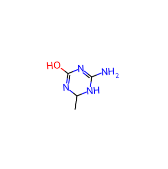 CC1N=C(O)N=C(N)N1